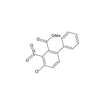 COC(=O)c1c(-c2cc[c]cc2)ccc(Cl)c1[SH](=O)=O